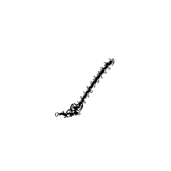 C=CCOCC(=C)C(=O)OCCCCCCCCCCCCCCCCCCC